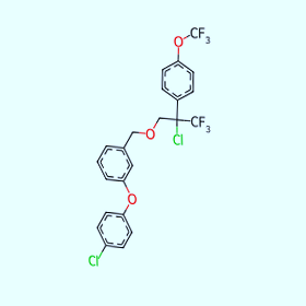 FC(F)(F)Oc1ccc(C(Cl)(COCc2cccc(Oc3ccc(Cl)cc3)c2)C(F)(F)F)cc1